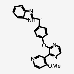 COc1ccncc1-c1nccnc1Oc1ccc([C]c2nc3ccccc3[nH]2)cc1